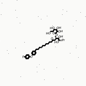 CCC[C@@H](O)[C@@H](O)[C@H](COC1OC(CO)C(O)C(O)C1O)CC(=O)CCCCCCCCCCc1ccc(Oc2ccc(F)cc2)cc1